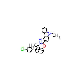 CCn1c2ccccc2c2cc(C(=O)NC(C)C34CC5CC(CC(c6ccc(Cl)cc6)(C5)C3)C4)ccc21